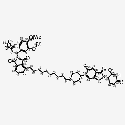 CCOc1cc([C@@H](CS(C)(=O)=O)N2C(=O)c3cccc(CCCCCCCCCCN4CCC(c5cc6c(cc5F)C(=O)N(C5CCC(=O)NC5=O)C6)CC4)c3C2=O)ccc1OC